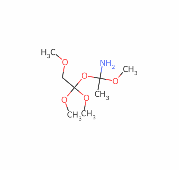 COCC(OC)(OC)OC(C)(N)OC